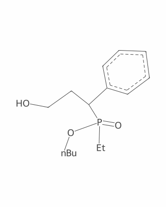 CCCCOP(=O)(CC)C(CCO)c1ccccc1